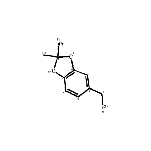 CC(C)Cc1ccc2c(c1)OC(C)(C(C)C)O2